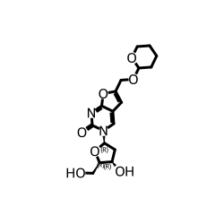 O=c1nc2oc(COC3CCCCO3)cc2cn1[C@H]1C[C@@H](O)[C@@H](CO)O1